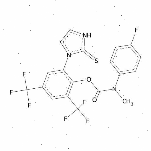 CN(C(=O)Oc1c(-n2cc[nH]c2=S)cc(C(F)(F)F)cc1C(F)(F)F)c1ccc(F)cc1